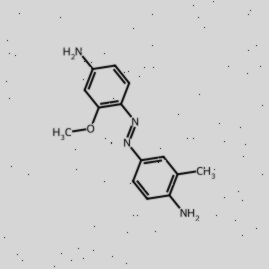 COc1cc(N)ccc1N=Nc1ccc(N)c(C)c1